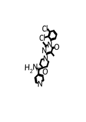 Cc1c(N2CCC3(CC2)Oc2cnccc2[C@H]3N)nc(C)n(-c2cccc(Cl)c2Cl)c1=O